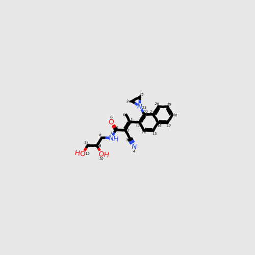 C/C(=C(/C#N)C(=O)NCC(O)CO)c1ccc2ccccc2c1N1CC1